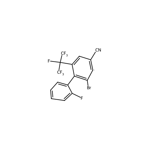 N#Cc1[c]c(Br)c(-c2ccccc2F)c(C(F)(C(F)(F)F)C(F)(F)F)c1